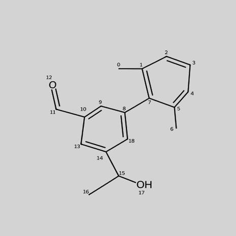 Cc1cccc(C)c1-c1cc(C=O)cc(C(C)O)c1